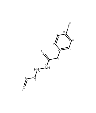 O=CONNC(=S)Cc1ccc(F)cc1